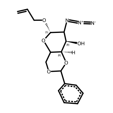 C=CCO[C@H]1OC2COC(c3ccccc3)O[C@@H]2[C@H](O)C1N=[N+]=[N-]